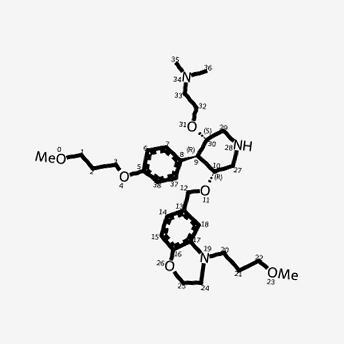 COCCCOc1ccc([C@@H]2[C@@H](OCc3ccc4c(c3)N(CCCOC)CCO4)CNC[C@H]2OCCN(C)C)cc1